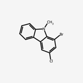 Cn1c2ccccc2c2cc(Cl)cc(Br)c21